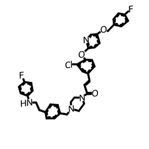 O=C(C=Cc1ccc(Oc2ccc(OCc3ccc(F)cc3)cn2)c(Cl)c1)N1CCN(Cc2ccc(CCNc3ccc(F)cc3)cc2)CC1